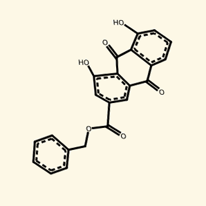 O=C(OCc1ccccc1)c1cc(O)c2c(c1)C(=O)c1cccc(O)c1C2=O